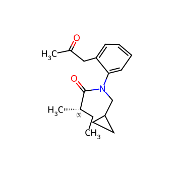 CC[C@H](C)C(=O)N(CC1CC1)c1ccccc1CC(C)=O